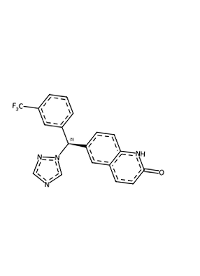 O=c1ccc2cc([C@H](c3cccc(C(F)(F)F)c3)n3cncn3)ccc2[nH]1